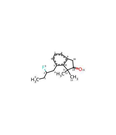 CCC(F)Cc1cccc2c1C(C)(C)C(=O)C2